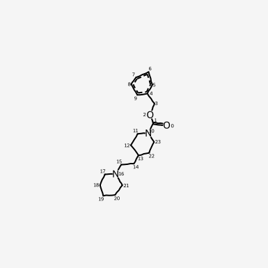 O=C(OCc1ccccc1)N1CCC(CCN2CCCCC2)CC1